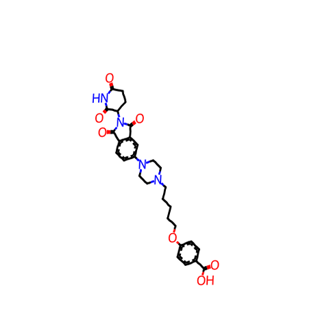 O=C1CCC(N2C(=O)c3ccc(N4CCN(CCCCCOc5ccc(C(=O)O)cc5)CC4)cc3C2=O)C(=O)N1